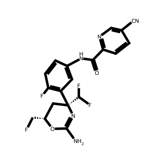 N#Cc1ccc(C(=O)Nc2ccc(F)c([C@]3(C(F)F)C[C@@H](CF)OC(N)=N3)c2)nc1